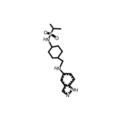 CC(C)S(=O)(=O)NC1CCC(CNc2ccc3[nH]ncc3c2)CC1